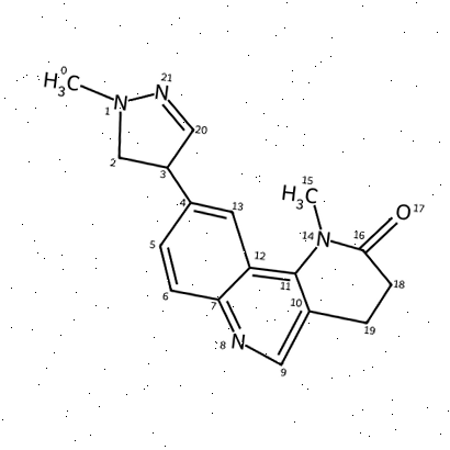 CN1CC(c2ccc3ncc4c(c3c2)N(C)C(=O)CC4)C=N1